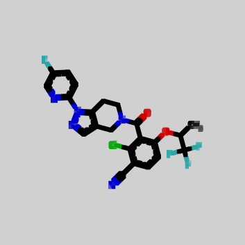 CC(Oc1ccc(C#N)c(Cl)c1C(=O)N1CCc2c(cnn2-c2ccc(F)cn2)C1)C(F)(F)F